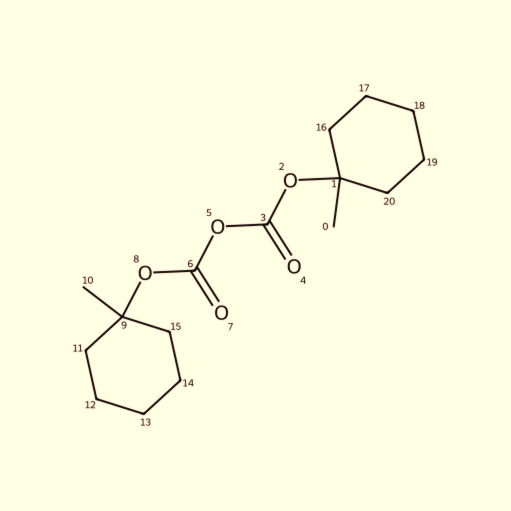 CC1(OC(=O)OC(=O)OC2(C)CCCCC2)CCCCC1